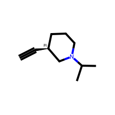 C#C[C@H]1CCCN(C(C)C)C1